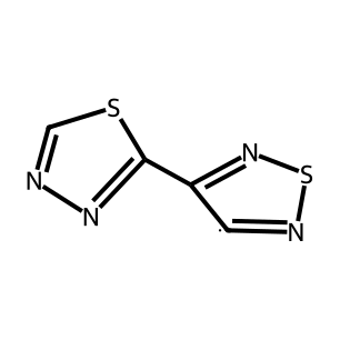 [c]1nsnc1-c1nncs1